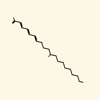 CCCCCCCCCC(O)CCC/C=C/C=C/C=C/C(=O)O